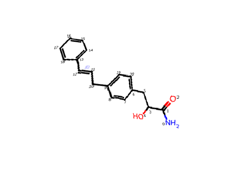 NC(=O)C(O)Cc1ccc(C/C=C/c2ccccc2)cc1